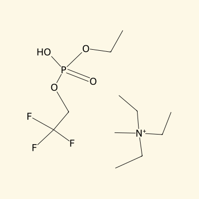 CCOP(=O)(O)OCC(F)(F)F.CC[N+](C)(CC)CC